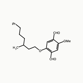 COc1cc(C=O)c(OCCC(C)CCCC(C)C)cc1C=O